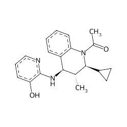 CC(=O)N1c2ccccc2[C@H](Nc2ncccc2O)[C@@H](C)[C@@H]1C1CC1